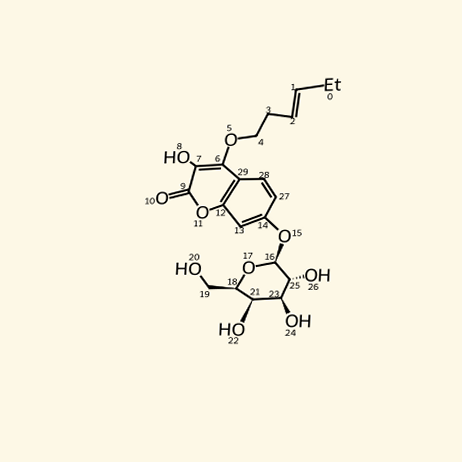 CC/C=C/CCOc1c(O)c(=O)oc2cc(O[C@@H]3O[C@H](CO)[C@H](O)[C@H](O)[C@H]3O)ccc12